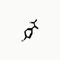 C=C(C(C)=O)c1ccc(Br)cc1